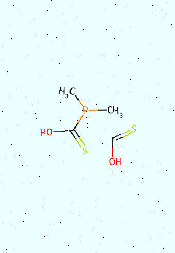 CP(C)C(O)=S.OC=S